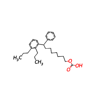 CCCc1cccc(C(CCCCCCCOC(=O)O)c2ccccc2)c1CCC